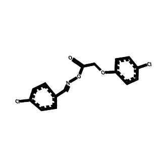 O=C(COc1ccc(Cl)cc1)ON=Cc1ccc(Cl)cc1